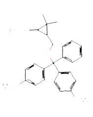 COc1ccc(C(OCC2C(C(=O)O)C2(C)C)(c2ccccc2)c2ccc(OC)cc2)cc1